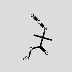 CCCOC(=O)C(C)(C)N=C=O